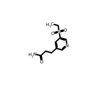 CCS(=O)(=O)c1cncc([CH]CC(N)=O)c1